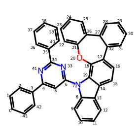 c1ccc(-c2cc(-n3c4ccccc4c4ccc5c(c43)Oc3ccccc3-c3ccccc3-5)nc(-c3ccccc3)n2)cc1